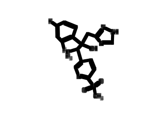 CC(c1ccc(S(C)(=O)=O)nc1)C(O)(Cc1nc[nH]n1)c1ccc(F)cc1F